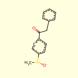 C[S+]([O-])c1ccc(C(=O)Cc2ccccc2)cc1